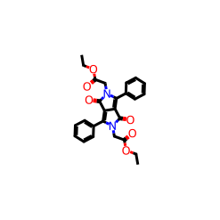 CCOC(=O)CN1C(=O)C2=C(c3ccccc3)N(CC(=O)OCC)C(=O)C2=C1c1ccccc1